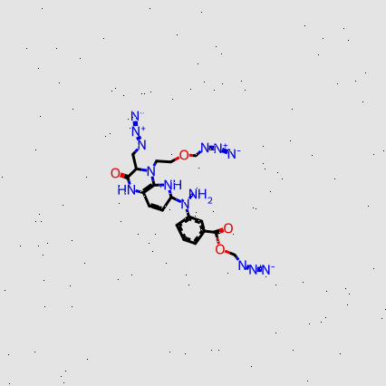 [N-]=[N+]=NCOCCN1C2=C(C=CC(N(N)c3cccc(C(=O)OCN=[N+]=[N-])c3)N2)NC(=O)C1CN=[N+]=[N-]